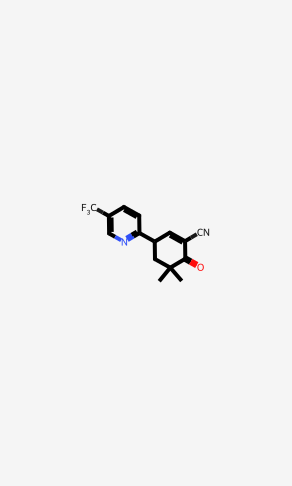 CC1(C)CC(c2ccc(C(F)(F)F)cn2)C=C(C#N)C1=O